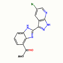 COC(=O)c1cccc2[nH]c(-c3n[nH]c4ncc(Br)cc34)nc12